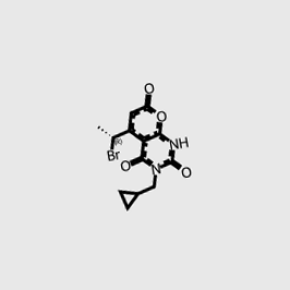 C[C@@H](Br)c1cc(=O)oc2[nH]c(=O)n(CC3CC3)c(=O)c12